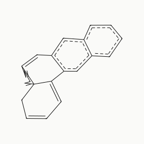 C1=CCC23C=CC=CC2=Cc2cc4ccccc4cc2C3=C1